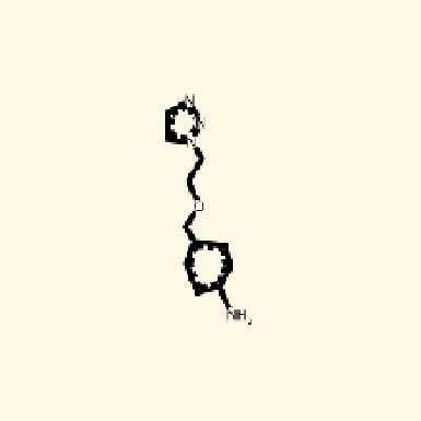 Nc1ccc(COCCn2ccnn2)cc1